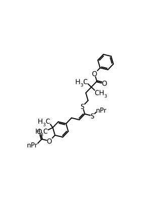 CCCSC(=CCC1=CC(C)(C)C(OC(=O)CCC)C=C1)SCCC(C)(C)C(=O)Oc1ccccc1